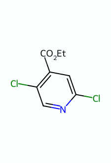 CCOC(=O)c1cc(Cl)ncc1Cl